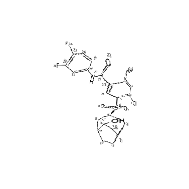 CCCCc1cc(Cl)c(S(=O)(=O)[C@H]2CC3CCC(C2)[C@@]3(C)O)cc1C(=O)Nc1ccc(F)c(F)c1